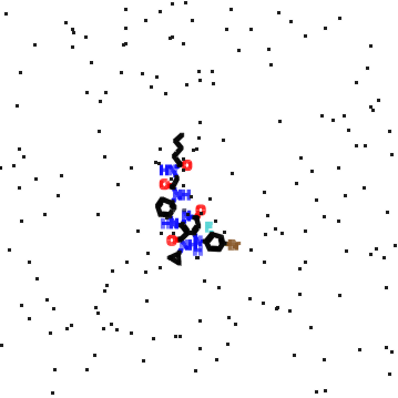 CCCCC(=O)NCC(=O)Nc1cccc(Nc2c(C(=O)NC3CC3)c(Nc3ccc(Br)cc3F)cc(=O)n2C)c1